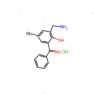 CC(C)(C)c1cc(CN)c(O)c(C(=O)c2ccccc2)c1.Cl